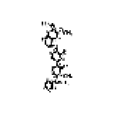 COc1cc2nccc(Oc3ccc(-c4cnc([C@@H](N)c5ccccc5)n(C)c4=O)cc3F)c2cc1OC